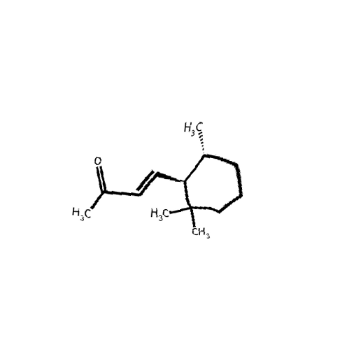 CC(=O)C=C[C@H]1[C@H](C)CCCC1(C)C